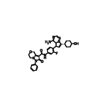 Nc1ncnn2c1c(-c1ccc(NC(=O)c3c4n(n(-c5ccccc5)c3=O)CCOC4)cc1F)cc2[C@H]1CC[C@H](O)CC1